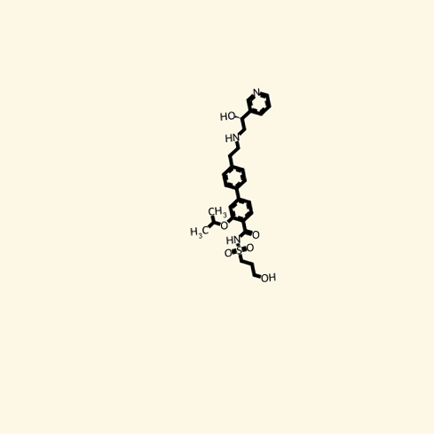 CC(C)Oc1cc(-c2ccc(CCNC[C@H](O)c3cccnc3)cc2)ccc1C(=O)NS(=O)(=O)CCCO